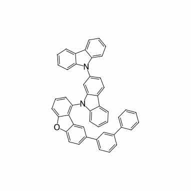 c1ccc(-c2cccc(-c3ccc4oc5cccc(-n6c7ccccc7c7ccc(-n8c9ccccc9c9ccccc98)cc76)c5c4c3)c2)cc1